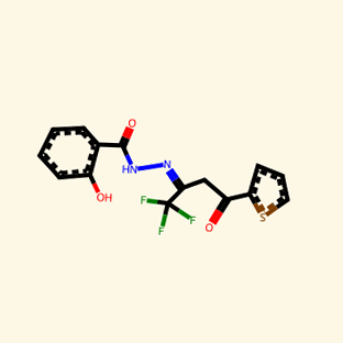 O=C(CC(=NNC(=O)c1ccccc1O)C(F)(F)F)c1cccs1